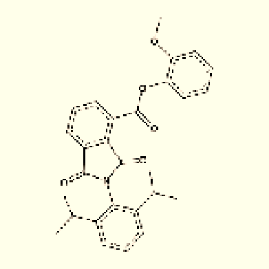 COc1ccccc1OC(=O)c1cccc2c1C(=O)N(c1c(C(C)C)cccc1C(C)C)C2=O